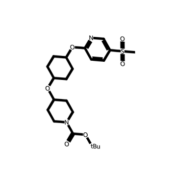 CC(C)(C)OC(=O)N1CCC(OC2CCC(Oc3ccc(S(C)(=O)=O)cn3)CC2)CC1